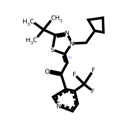 CC(C)(C)C1=NN(CC2CCC2)/C(=C/C(=O)c2cnccc2C(F)(F)F)S1